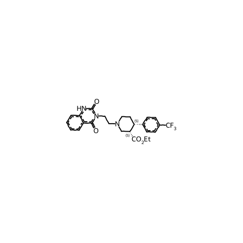 CCOC(=O)[C@@H]1CN(CCn2c(=O)[nH]c3ccccc3c2=O)CC[C@@H]1c1ccc(C(F)(F)F)cc1